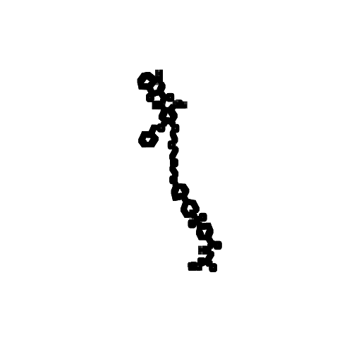 CC(C)(C)OC(=O)CNC(=O)c1ccc(S(=O)(=O)N2CCC(c3ccc(OCCOCCOCCOc4cc(C(C)(C)C)c(NC(=O)c5c[nH]c6ccccc6c5=O)cc4OCc4ccccc4)cc3)CC2)cc1